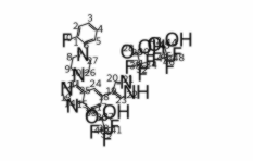 Fc1ccccc1N1CCN(c2ncnc3ccc(-c4cn[nH]c4)cc23)CC1.O=C(O)C(F)(F)F.O=C(O)C(F)(F)F.O=C(O)C(F)(F)F